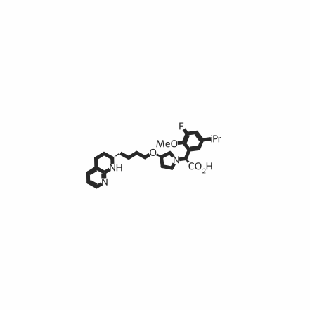 COc1c(F)cc(C(C)C)cc1[C@@H](C(=O)O)N1CC[C@@H](OCCCC[C@H]2CCc3cccnc3N2)C1